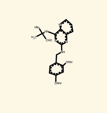 CCCCC(C)(C=O)Nc1nc(NCc2ccc(OC)cc2OC)nc2cccnc12